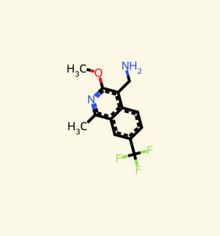 COc1nc(C)c2cc(C(F)(F)F)ccc2c1CN